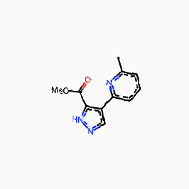 COC(=O)c1[nH]ncc1-c1cccc(C)n1